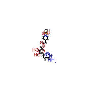 CS(=O)(=O)N1CCC(CC(=O)OC[C@H]2O[C@@H](c3ccc4c(N)ncnn34)[C@H](O)[C@@H]2O)CC1